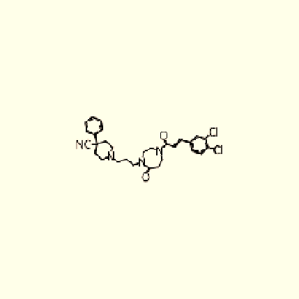 N#CC1(c2ccccc2)CCN(CCCN2CCN(C(=O)/C=C/c3ccc(Cl)c(Cl)c3)CCC2=O)CC1